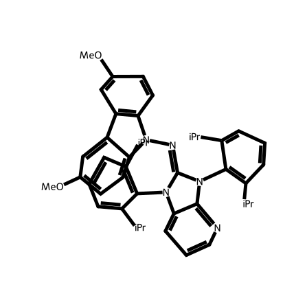 COc1ccc2c(c1)c1cc(OC)ccc1n2/N=c1\n(-c2c(C(C)C)cccc2C(C)C)c2cccnc2n1-c1c(C(C)C)cccc1C(C)C